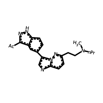 CCCN(C)CCc1ccc2ncc(-c3ccc4[nH]nc(C(C)=O)c4c3)n2n1